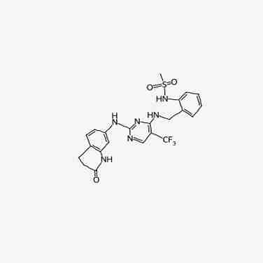 CS(=O)(=O)Nc1ccccc1CNc1nc(Nc2ccc3c(c2)NC(=O)CC3)ncc1C(F)(F)F